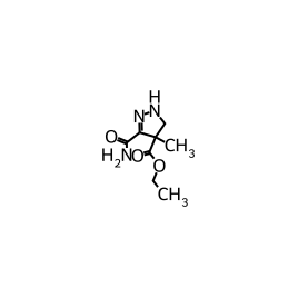 CCOC(=O)C1(C)CNN=C1C(N)=O